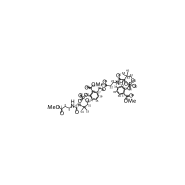 COC(=O)CCNC(=O)[C@@H]1OP(=O)(Oc2cccc(COC(=O)CCNC(=O)[C@@H]3O[P@](=O)(Oc4ccccc4C(=O)OC)OCC3(C)C)c2C(=O)OC)OCC1(C)C